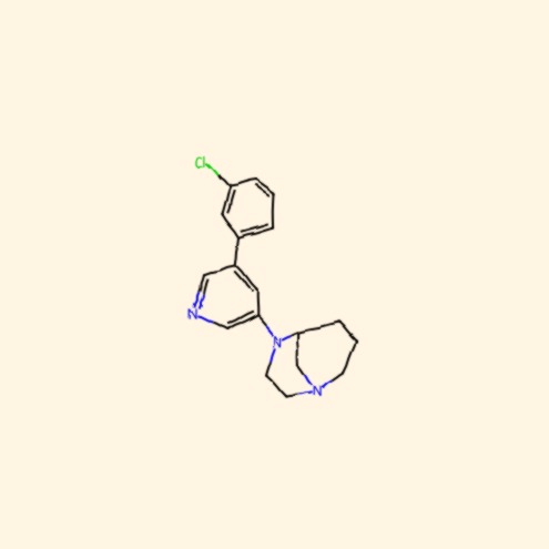 Clc1cccc(-c2cncc(N3CCN4CCCC3C4)c2)c1